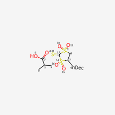 CC(C)C(=O)O.CCCCCCCCCCC1CS(=O)(=O)C(=S)S1(=O)=O